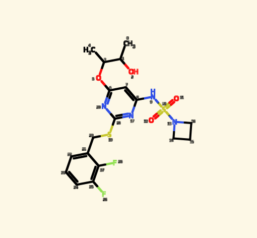 CC(O)C(C)Oc1cc(NS(=O)(=O)N2CCC2)nc(SCc2cccc(F)c2F)n1